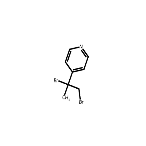 CC(Br)(CBr)c1ccncc1